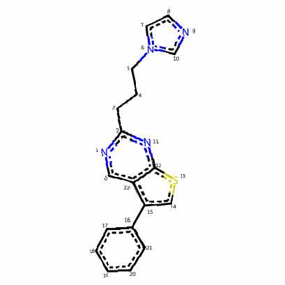 [c]1nc(CCCn2ccnc2)nc2scc(-c3ccccc3)c12